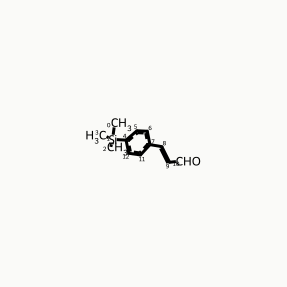 C[Si](C)(C)c1ccc(C=CC=O)cc1